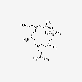 BN(B)CCN(CCN)CCN(B)CCN(CCN(B)B)CCN(B)CCN(B)C